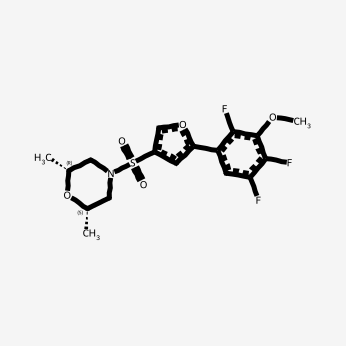 COc1c(F)c(F)cc(-c2cc(S(=O)(=O)N3C[C@@H](C)O[C@@H](C)C3)co2)c1F